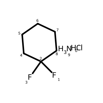 Cl.FC1(F)CCCCC1.N